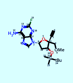 C#C[C@]1(COC)O[C@@H](n2cnc3c(N)nc(F)nc32)CC1O[Si](C)(C)C(C)(C)C